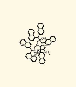 NC(=O)C1(C(=O)N(CC(O)(Cc2ccc3ccccc3c2)C(c2ccc3ccccc3c2)c2cccc3ccccc23)CC(O)(Cc2ccc3ccccc3c2)C(c2ccc3ccccc3c2)c2cccc3ccccc23)CCC1